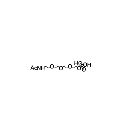 CC(=O)NCCOCCOCCOCCOP(=O)(O)O